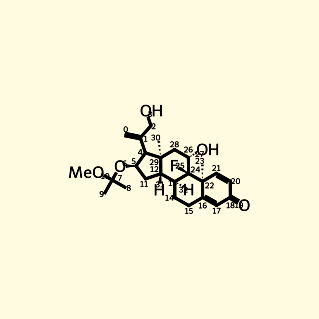 C=C(CO)C1[C@H](OC(C)(C)OC)C[C@H]2[C@@H]3CCC4=CC(=O)C=C[C@]4(C)[C@@]3(F)[C@@H](O)C[C@]12C